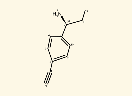 C#Cc1ccc([C@@H](N)CC)cc1